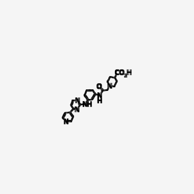 O=C(CN1CCC(C(=O)O)CC1)Nc1cccc(Nc2nccc(-c3ccncc3)n2)c1